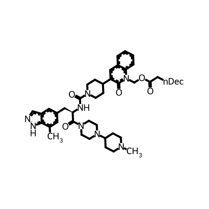 CCCCCCCCCCCC(=O)OCn1c(=O)c(C2CCN(C(=O)N[C@H](Cc3cc(C)c4[nH]ncc4c3)C(=O)N3CCN(C4CCN(C)CC4)CC3)CC2)cc2ccccc21